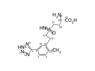 Cc1ccc(-c2nn[nH]n2)cc1CCS(=N)(=O)CC[C@H](N)C(=O)O